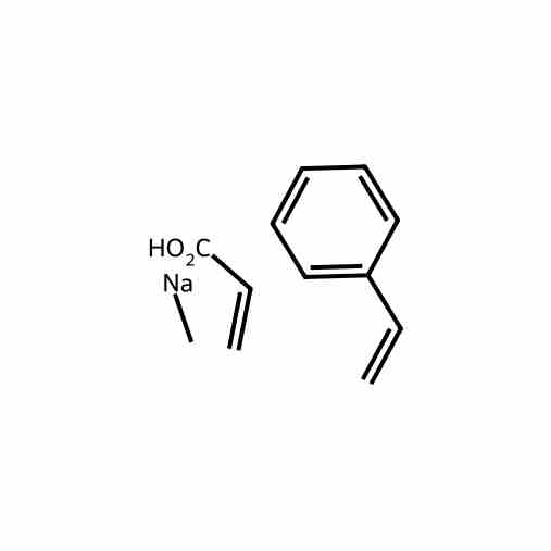 C=CC(=O)O.C=Cc1ccccc1.[CH3][Na]